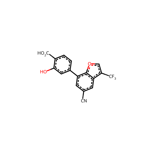 N#Cc1cc(-c2ccc(C(=O)O)c(O)c2)c2occ(C(F)(F)F)c2c1